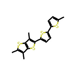 Cc1ccc(-c2ccc(-c3sc4c(C)c(C)sc4c3C)s2)s1